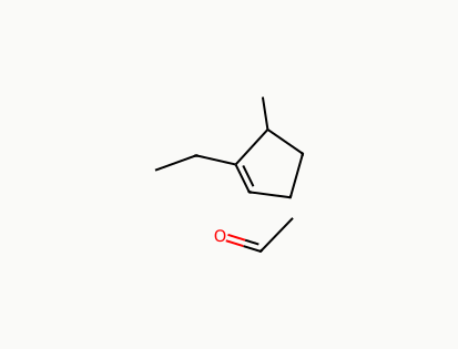 CC=O.CCC1=CCCC1C